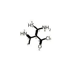 CC(=N)/C(C(=O)Cl)=C(/N)S